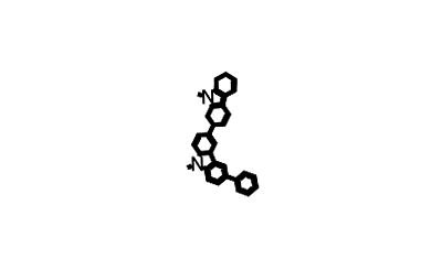 CN1c2ccc(-c3ccccc3)cc2C2C=C(C3C=Cc4c5c(n(C)c4C3)CCC=C5)C=CC21